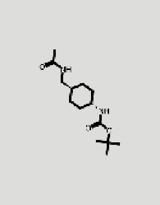 CC(=O)NC[C@H]1CC[C@H](NC(=O)OC(C)(C)C)CC1